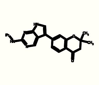 CC(C)Nc1ncc2c(-c3ccc4c(c3)OC(C)(C)CC4=O)c[nH]c2n1